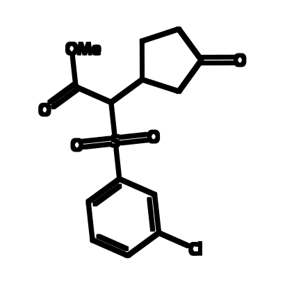 COC(=O)C(C1CCC(=O)C1)S(=O)(=O)c1cccc(Cl)c1